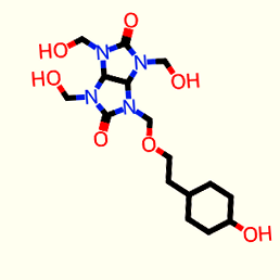 O=C1N(CO)C2C(N1CO)N(COCCC1CCC(O)CC1)C(=O)N2CO